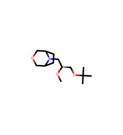 CO[C@H](COC(C)(C)C)CN1C2CCC1COC2